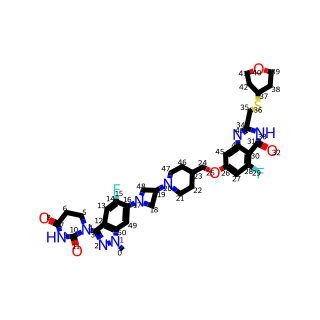 Cn1nc(N2CCC(=O)NC2=O)c2cc(F)c(N3CC(N4CCC(COc5cc(F)c6c(=O)[nH]c(CSC7CCOCC7)nc6c5)CC4)C3)cc21